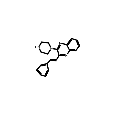 C(=Cc1nc2ccccc2nc1N1CCNCC1)c1ccccc1